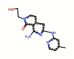 Cc1ccnc(Nc2cc3ccn(CCO)c(=O)c3c(N)n2)c1